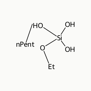 CCCCCC.CCO[Si](O)(O)O